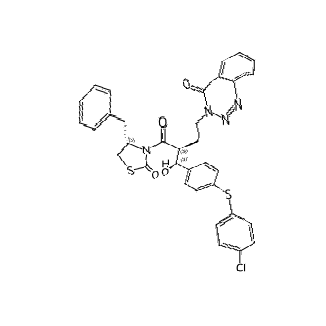 O=C1SC[C@H](Cc2ccccc2)N1C(=O)[C@@H](CCn1nnc2ccccc2c1=O)[C@H](O)c1ccc(Sc2ccc(Cl)cc2)cc1